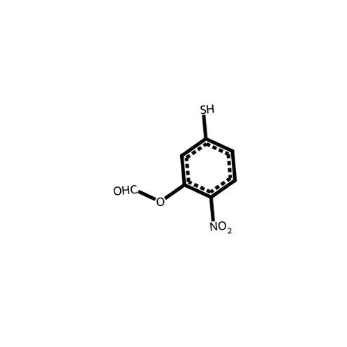 O=COc1cc(S)ccc1[N+](=O)[O-]